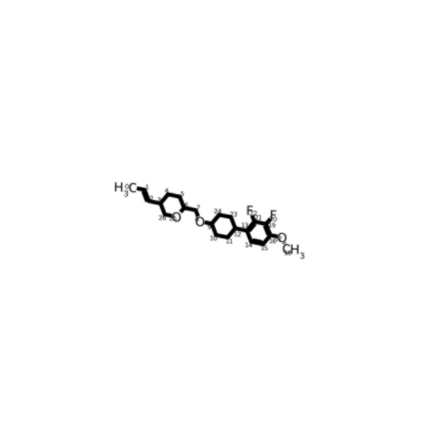 C/C=C/C1CCC(COC2CCC(c3ccc(OC)c(F)c3F)CC2)OC1